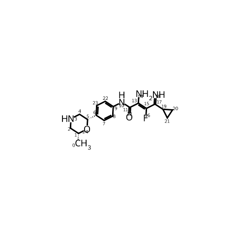 C[C@@H]1CNC[C@H](c2ccc(NC(=O)/C(N)=C(\F)C(=N)C3CC3)cc2)O1